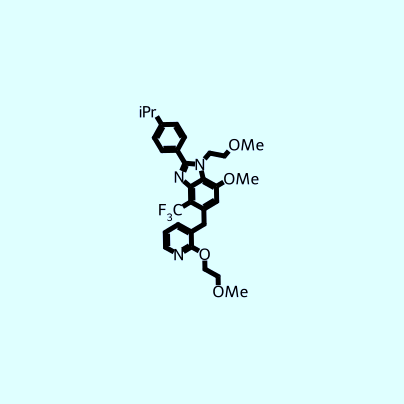 COCCOc1ncccc1Cc1cc(OC)c2c(nc(-c3ccc(C(C)C)cc3)n2CCOC)c1C(F)(F)F